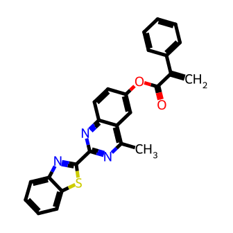 C=C(C(=O)Oc1ccc2nc(-c3nc4ccccc4s3)nc(C)c2c1)c1ccccc1